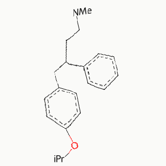 CNCCC(Cc1ccc(OC(C)C)cc1)c1ccccc1